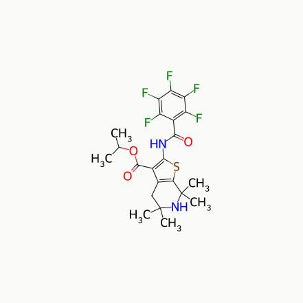 CC(C)OC(=O)c1c(NC(=O)c2c(F)c(F)c(F)c(F)c2F)sc2c1CC(C)(C)NC2(C)C